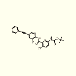 CC(C)(C)OC(=O)Nc1ccc(Cl)c(C(=O)Nc2ncc(C#Cc3ccccc3)cc2F)n1